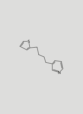 c1cncc(CCCCc2cccs2)c1